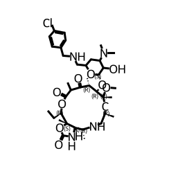 CC[C@H]1OC(=O)C(C)C(=O)[C@H](C)[C@@H](O[C@@H]2OC(CNCc3ccc(Cl)cc3)CC(N(C)C)C2O)[C@](C)(OC)C[C@@H](C)CN[C@H](C)[C@H]2NC(=O)O[C@@]21C